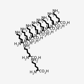 NCCCC[C@H](N)C(=O)O.NCCCC[C@H](N)C(=O)O.NCCCC[C@H](N)C(=O)O.NCCCC[C@H](N)C(=O)O.NCCCC[C@H](N)C(=O)O.NCCCC[C@H](N)C(=O)O.NCCCC[C@H](N)C(=O)O.NCCCC[C@H](N)C(=O)O.NCCCC[C@H](N)C(=O)O.NCCCC[C@H](N)C(=O)O